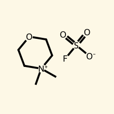 C[N+]1(C)CCOCC1.O=S(=O)([O-])F